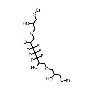 CCOCC(O)COCC(O)C(F)(F)C(F)(F)C(F)(F)C(O)COCC(O)COCC